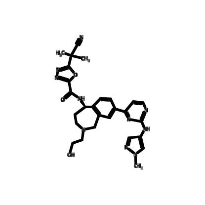 Cn1cc(Nc2nccc(-c3ccc4c(c3)CN(CCO)CC[C@H]4NC(=O)c3nnc(C(C)(C)C#N)o3)n2)cn1